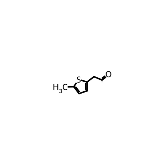 Cc1ccc(C[C]=O)s1